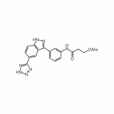 COCCC(=O)Nc1cccc(-c2n[nH]c3ccc(-c4nn[nH]n4)cc23)c1